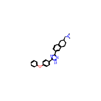 CN(C)CC1CCc2cc(-c3n[nH]c(-c4ccc(Oc5ccccc5)cc4)n3)ccc2C1